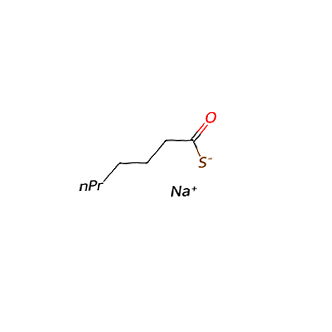 CCCCCCC(=O)[S-].[Na+]